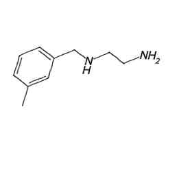 Cc1cccc(CNCCN)c1